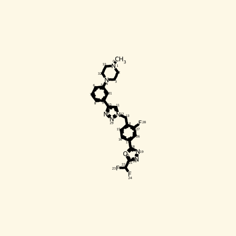 CN1CCN(c2cccc(-c3cn(Cc4ccc(-c5nnc(C(F)F)o5)cc4F)nn3)c2)CC1